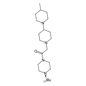 CC[C@H](C)N1CCN(C(=O)CN2CCC(N3CCC(C)CC3)CC2)CC1